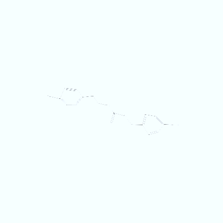 CC(C)(C)c1ccc(CNC(=S)NCCc2ccc(N)cc2)cc1